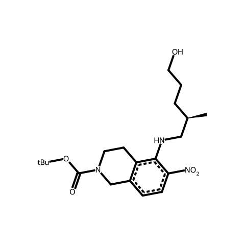 C[C@H](CCCO)CNc1c([N+](=O)[O-])ccc2c1CCN(C(=O)OC(C)(C)C)C2